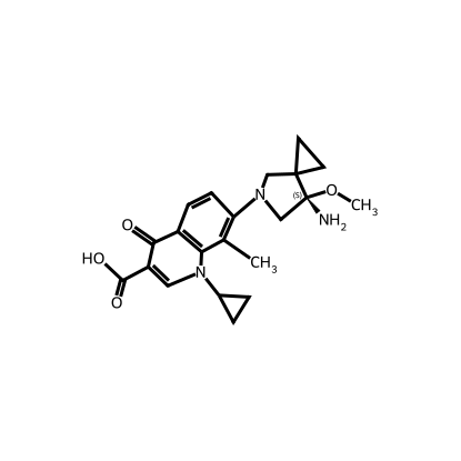 CO[C@]1(N)CN(c2ccc3c(=O)c(C(=O)O)cn(C4CC4)c3c2C)CC12CC2